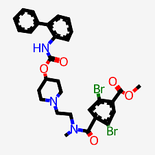 COC(=O)c1cc(Br)c(C(=O)N(C)CCN2CCC(OC(=O)Nc3ccccc3-c3ccccc3)CC2)cc1Br